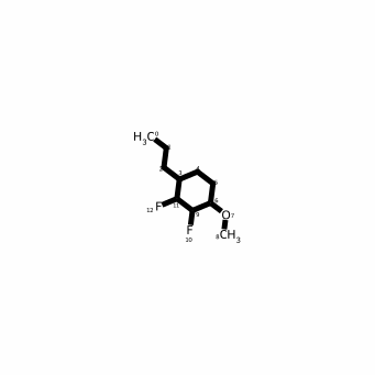 CCCC1CCC(OC)C(F)C1F